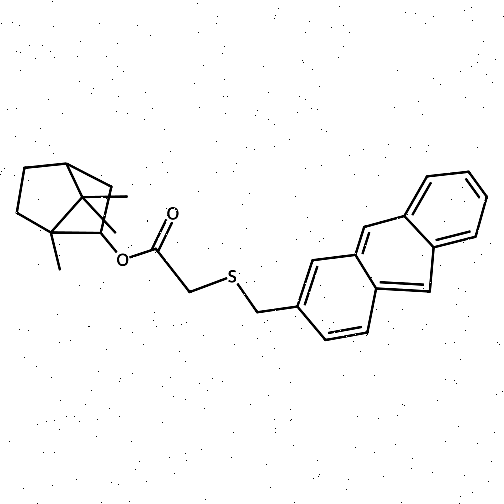 CC1(C)C2CCC1(C)C(OC(=O)CSCc1ccc3cc4ccccc4cc3c1)C2